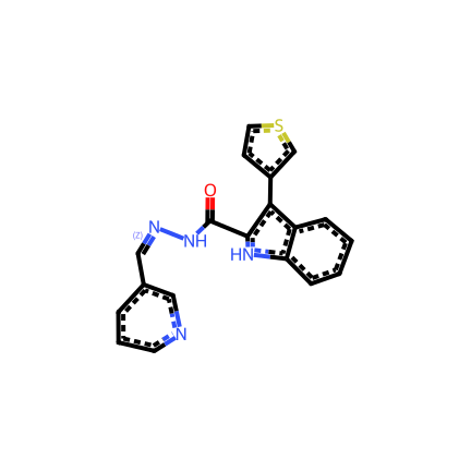 O=C(N/N=C\c1cccnc1)c1[nH]c2ccccc2c1-c1ccsc1